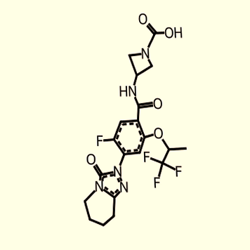 CC(Oc1cc(-n2nc3n(c2=O)CCCC3)c(F)cc1C(=O)NC1CN(C(=O)O)C1)C(F)(F)F